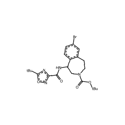 CC(C)(C)OC(=O)N1CCc2cc(Br)ccc2C(NC(=O)c2noc(C(C)(C)C)n2)C1